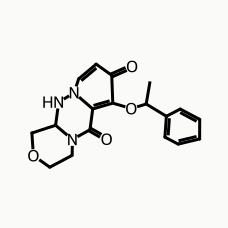 CC(Oc1c2n(ccc1=O)NC1COCCN1C2=O)c1ccccc1